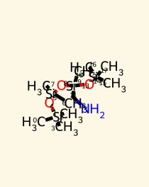 C[Si](C)(C)O[Si](C)(C)O[Si](C)(CN)O[Si](C)(C)C